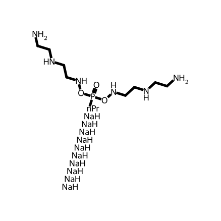 CCCP(=O)(ONCCNCCN)ONCCNCCN.[NaH].[NaH].[NaH].[NaH].[NaH].[NaH].[NaH].[NaH].[NaH].[NaH]